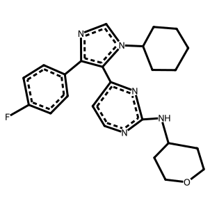 Fc1ccc(-c2ncn(C3CCCCC3)c2-c2ccnc(NC3CCOCC3)n2)cc1